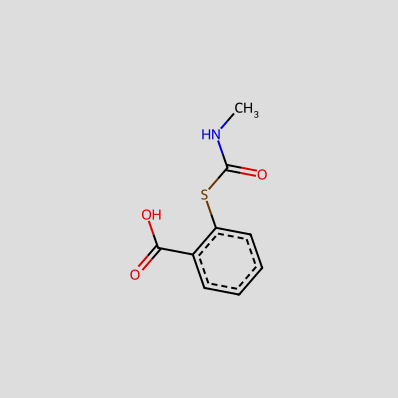 CNC(=O)Sc1ccccc1C(=O)O